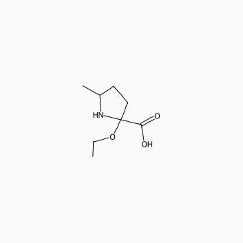 CCOC1(C(=O)O)CCC(C)N1